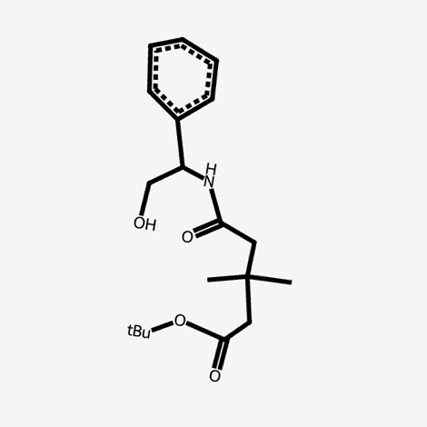 CC(C)(CC(=O)NC(CO)c1ccccc1)CC(=O)OC(C)(C)C